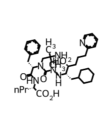 CCC[C@H](NC(=O)[C@H](Cc1ccccc1)N(CC(C)(C)N)C(=O)NN[C@@H](CC1CCCCC1)[C@@H](O)CCCc1ccccn1)C(=O)O